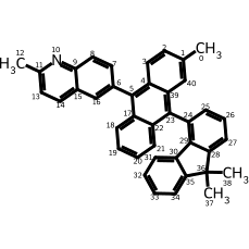 Cc1ccc2c(-c3ccc4nc(C)ccc4c3)c3ccccc3c(-c3cccc4c3-c3ccccc3C4(C)C)c2c1